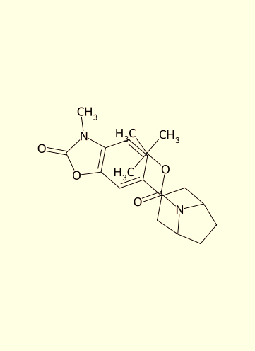 Cn1c(=O)oc2cc(C3CC4CCC(C3)N4C(=O)OC(C)(C)C)ccc21